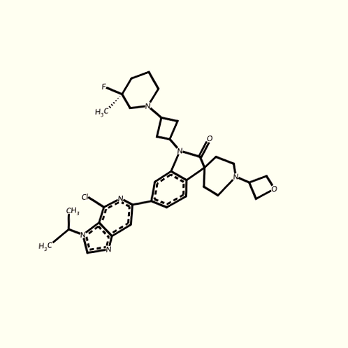 CC(C)n1cnc2cc(-c3ccc4c(c3)N(C3CC(N5CCC[C@](C)(F)C5)C3)C(=O)C43CCN(C4COC4)CC3)nc(Cl)c21